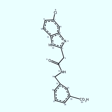 O=C(Cc1nc2cc(Cl)ccc2[nH]1)NCc1cccc(C(=O)O)c1